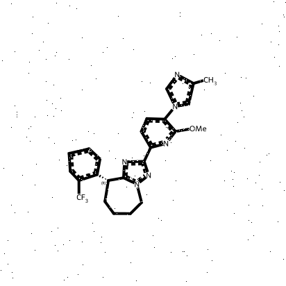 COc1nc(-c2nc3n(n2)CCCC[C@@H]3c2ccccc2C(F)(F)F)ccc1-n1cnc(C)c1